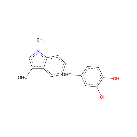 Cn1cc(C=O)c2ccccc21.O=Cc1ccc(O)c(O)c1